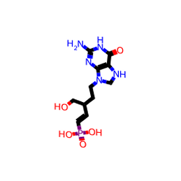 Nc1nc2c(c(=O)[nH]1)NCN2CCC(C=CP(=O)(O)O)CO